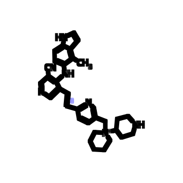 Cc1c(Nc2c(C#N)cncc2/C=C/c2ccc(C[N+]3(C4CCNCC4)CCCCC3)cn2)ccc2[nH]ccc12